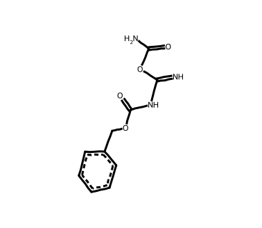 N=C(NC(=O)OCc1ccccc1)OC(N)=O